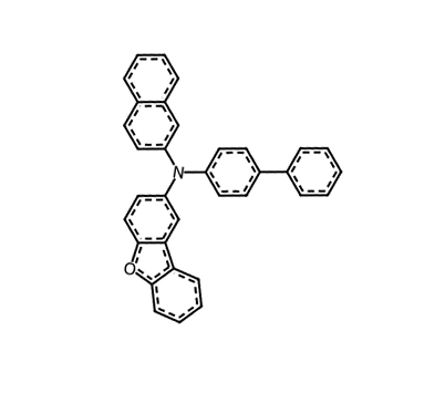 c1ccc(-c2ccc(N(c3ccc4ccccc4c3)c3ccc4oc5ccccc5c4c3)cc2)cc1